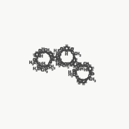 CC(C)[C@@H]1NC(=O)C(C)(C)COc2cc3cc(ccc3c(CC(C)[C@@H]3NC(=O)C(C)(C)COc4cc5cc(ccc5c(CC(C)[C@@H]5NC(=O)C(C)(C)COc6cc7cc(ccc7cn6)[C@@H](C)OC(=O)[C@@H]6CCCN(N6)C(=O)[C@H](C)NC5=O)n4)[C@@H](C)OC(=O)[C@H]4CCCN(N4)C(=O)[C@H](C)NC3=O)n2)[C@@H](C)NC(=O)[C@@H]2CCCN(N2)C(=O)[C@H](C)NC1=O